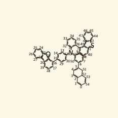 C1=CC2=CC=C(c3cccc(N(c4ccc(-c5cccc6c5oc5ccccc56)cc4)c4ccccc4-c4cccc5sc6ccccc6c45)c3)CC2C=C1